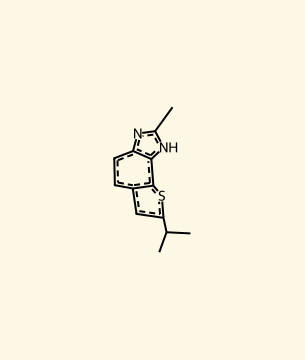 Cc1nc2ccc3cc(C(C)C)sc3c2[nH]1